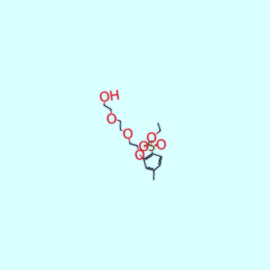 CCOS(=O)(=O)c1ccc(C)cc1OCCOCCOCCO